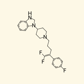 FC(F)=C(CCCN1CCC(N2CNc3ccccc32)CC1)c1ccc(F)cc1